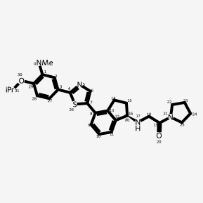 CNc1cc(-c2ncc(-c3cccc4c3CC[C@H]4NCC(=O)N3CCCC3)s2)ccc1OC(C)C